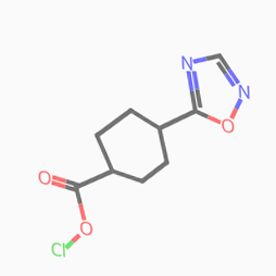 O=C(OCl)C1CCC(c2ncno2)CC1